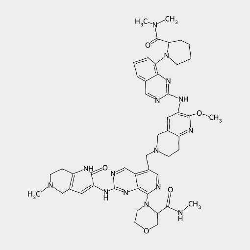 CNC(=O)C1COCCN1c1ncc(CN2CCc3nc(OC)c(Nc4ncc5cccc(N6CCCCC6C(=O)N(C)C)c5n4)cc3C2)c2cnc(Nc3cc4c([nH]c3=O)CCN(C)C4)nc12